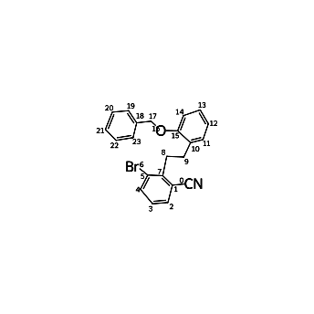 N#Cc1cccc(Br)c1CCc1ccccc1OCc1ccccc1